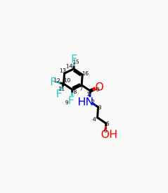 O=C(NCCCO)C1=C(F)C(F)(F)CC(F)=C1